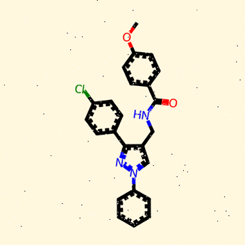 COc1ccc(C(=O)NCc2cn(-c3ccccc3)nc2-c2ccc(Cl)cc2)cc1